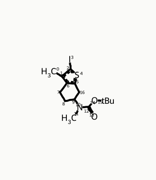 Cc1c(I)sc2c1CCC(N(C)C(=O)OC(C)(C)C)C2